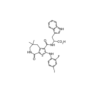 CC1(C)CNC(=O)c2sc(Nc3ccc(I)cc3F)c(C(=O)NC(Cc3c[nH]c4ccccc34)C(=O)O)c2C1